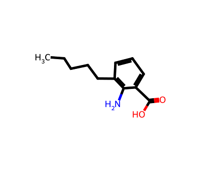 CCCCCc1cccc(C(=O)O)c1N